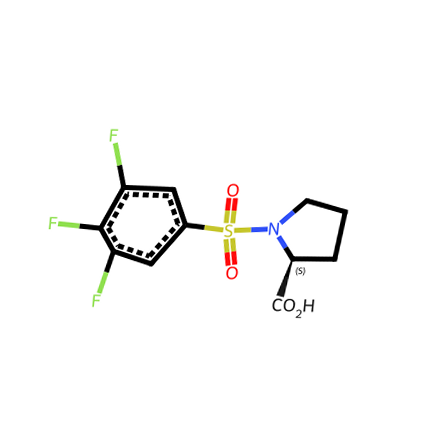 O=C(O)[C@@H]1CCCN1S(=O)(=O)c1cc(F)c(F)c(F)c1